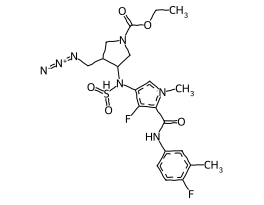 CCOC(=O)N1CC(CN=[N+]=[N-])C(N(c2cn(C)c(C(=O)Nc3ccc(F)c(C)c3)c2F)[SH](=O)=O)C1